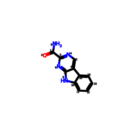 NC(=O)c1ncc2c(n1)[nH]c1ccccc12